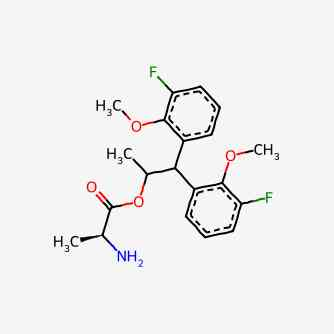 COc1c(F)cccc1C(c1cccc(F)c1OC)C(C)OC(=O)[C@H](C)N